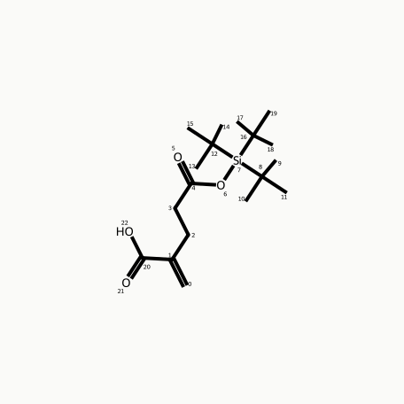 C=C(CCC(=O)O[Si](C(C)(C)C)(C(C)(C)C)C(C)(C)C)C(=O)O